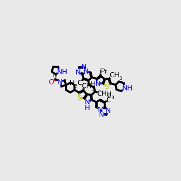 Cc1c(C2CCNCC2)sc2[nH]c(-c3cn4ncnc4c(C)c3CCC(C)c3c(-c4cc(C)c5ncnn5c4)[nH]c4sc(C5CCC6(CC5)CN(C(=O)[C@@H]5CCCN5)C6)c(C)c34)c(C(C)C)c12